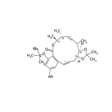 CCCc1cc2c(c(O[Si](C)(C)C(C)(C)C)c1)C(=O)O[C@@H](C)[C@H](C)/C=C\C(C)[C@H]1OC(C)(C)O[C@H]1C/C=C/2